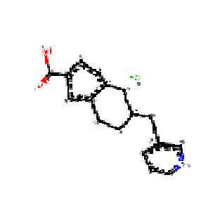 Cl.O=C(O)c1ccc2c(c1)CCC(Cc1cccnc1)C2